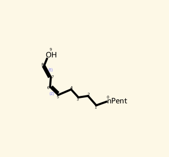 CCCCCCCCC/C=C\C=C\O